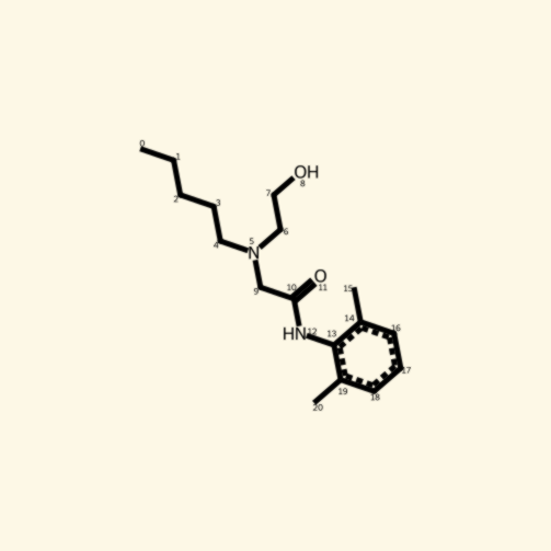 CCCCCN(CCO)CC(=O)Nc1c(C)cccc1C